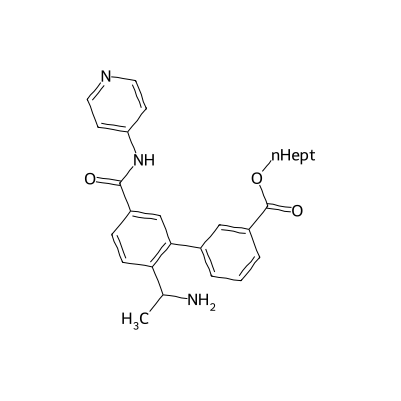 CCCCCCCOC(=O)c1cccc(-c2cc(C(=O)Nc3ccncc3)ccc2C(C)N)c1